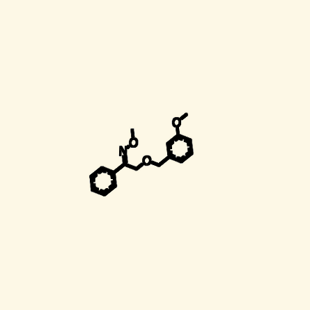 CON=C(COCc1cccc(OC)c1)c1ccccc1